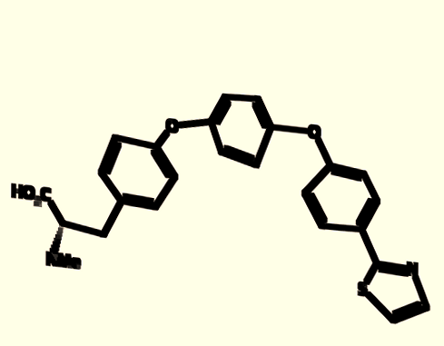 CN[C@@H](Cc1ccc(Oc2ccc(Oc3ccc(-c4nccs4)cc3)cc2)cc1)C(=O)O